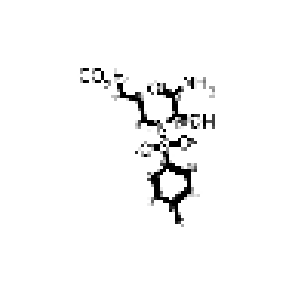 Cc1ccc(S(=O)(=O)N(CCCC(=O)O)C(O)C(N)=O)cc1